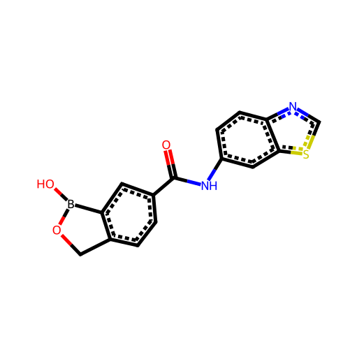 O=C(Nc1ccc2ncsc2c1)c1ccc2c(c1)B(O)OC2